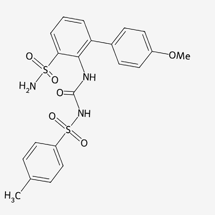 COc1ccc(-c2cccc(S(N)(=O)=O)c2NC(=O)NS(=O)(=O)c2ccc(C)cc2)cc1